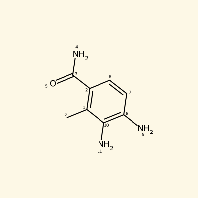 Cc1c(C(N)=O)ccc(N)c1N